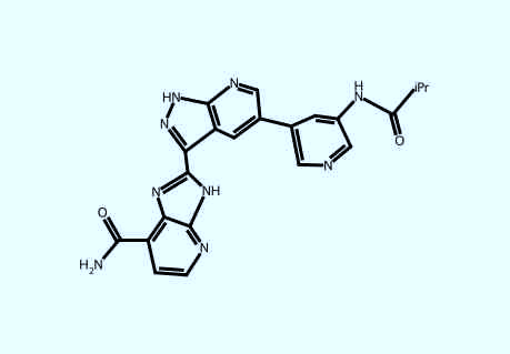 CC(C)C(=O)Nc1cncc(-c2cnc3[nH]nc(-c4nc5c(C(N)=O)ccnc5[nH]4)c3c2)c1